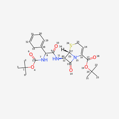 CC(C)(C)OC(=O)NC(C(=O)N[C@@H]1C(=O)N2C(C(=O)OC(C)(C)C)=CCS[C@@H]12)C1=CCC=CC1